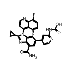 NC(=O)c1cc(-c2ccnc(NC(=O)O)c2)cc2c1nc(C1CC1)n2-c1ccnc2c(F)ccc(F)c12